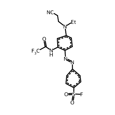 CCN(CCC#N)c1ccc(/N=N/c2ccc(S(=O)(=O)F)cc2)c(NC(=O)C(F)(F)F)c1